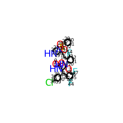 COC(=O)N[C@H](C(=O)Nc1cccc(F)c1CC[C@H]1CNCCN1S(=O)(=O)c1ccccc1)[C@@H](c1ccc(Cl)cc1)c1cc(F)cc(F)c1